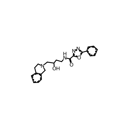 O=C(NCCC(O)CN1CCc2ccccc2C1)c1nnc(-c2ccccc2)o1